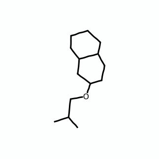 CC(C)COC1CCC2CCCCC2C1